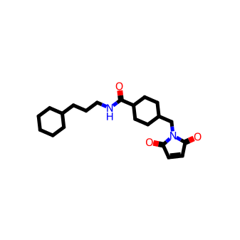 O=C(NCCCC1CCCCC1)C1CCC(CN2C(=O)C=CC2=O)CC1